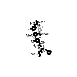 C=C/C(=C\C(=C)[C@@H](NC(=O)[C@@H](N)[C@H](O)c1ccc(Oc2cc([C@@H](N)C(=O)NC)cc(Oc3ccc([C@@H](O)[C@@H](N)C(=O)NC)cc3Cl)c2OC)c(Cl)c1)C(=O)OCc1ccccc1)OC